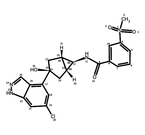 CS(=O)(=O)c1cccc(C(=O)N[C@H]2[C@@H]3C[C@](O)(c4cc(Cl)cc5[nH]ncc45)C[C@@H]32)c1